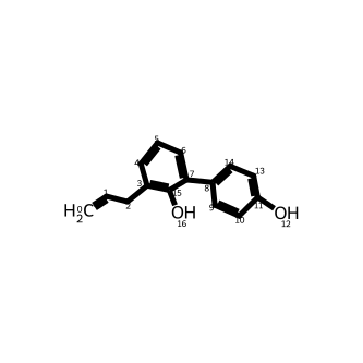 C=CCc1cccc(-c2ccc(O)cc2)c1O